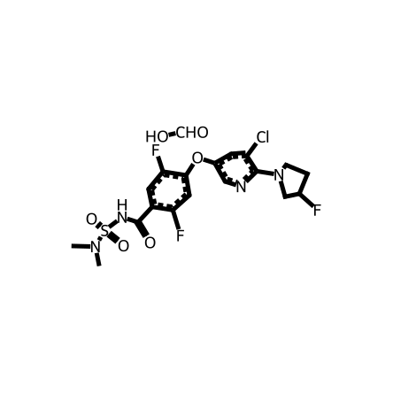 CN(C)S(=O)(=O)NC(=O)c1cc(F)c(Oc2cnc(N3CCC(F)C3)c(Cl)c2)cc1F.O=CO